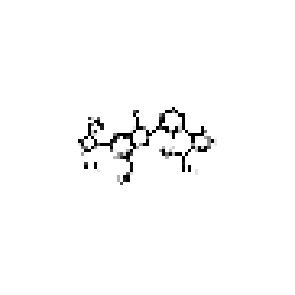 CC(C)n1cnnc1-c1cccc(N2Cc3c(cc(N4[C@H](C)C[C@H]4C)nc3CN)C2=O)n1